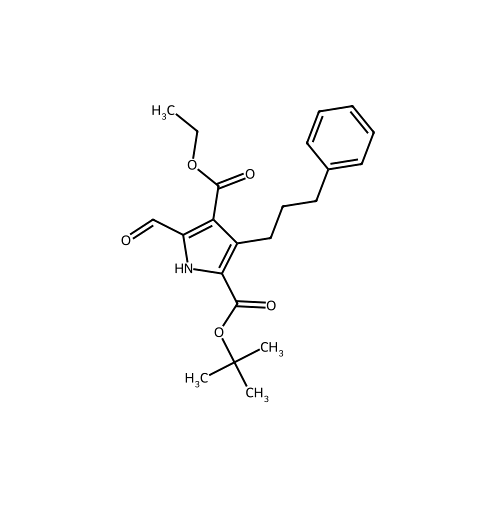 CCOC(=O)c1c(C=O)[nH]c(C(=O)OC(C)(C)C)c1CCCc1ccccc1